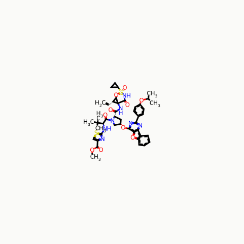 C=C[C@@H]1CC1(NC(=O)[C@@H]1C[C@@H](Oc2nc(-c3ccc(OC(C)C)cc3)nc3c2oc2ccccc23)CN1C(=O)[C@@H](Nc1nc(C(=O)OC)cs1)C(C)(C)C)C(=O)NS(=O)(=O)C1CC1